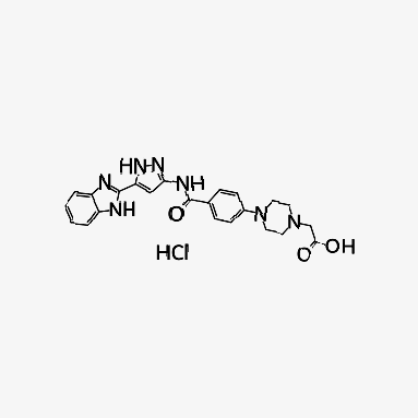 Cl.O=C(O)CN1CCN(c2ccc(C(=O)Nc3cc(-c4nc5ccccc5[nH]4)[nH]n3)cc2)CC1